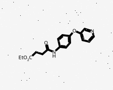 CCOC(=O)CCC(=O)Nc1ccc(Oc2cccnc2)cc1